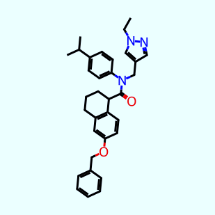 CCn1cc(CN(C(=O)C2CCCc3cc(OCc4ccccc4)ccc32)c2ccc(C(C)C)cc2)cn1